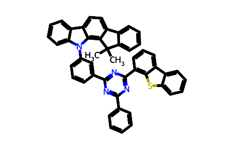 CC1(C)c2ccccc2-c2ccc3c4ccccc4n(-c4cccc(-c5nc(-c6ccccc6)nc(-c6cccc7c6sc6ccccc67)n5)c4)c3c21